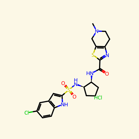 CN1CCc2nc(C(=O)N[C@H]3CCC[C@H]3NS(=O)(=O)c3cc4cc(Cl)ccc4[nH]3)sc2C1.Cl